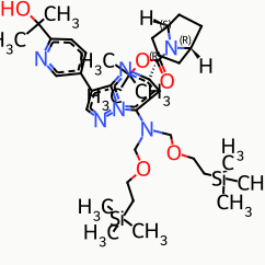 CC(C)(C)OC(=O)N1[C@@H]2CC[C@H]1C[C@@H](c1cc(N(COCC[Si](C)(C)C)COCC[Si](C)(C)C)n3ncc(-c4ccc(C(C)(C)O)nc4)c3n1)C2